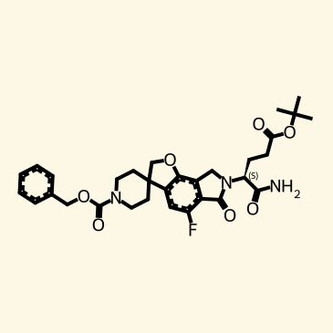 CC(C)(C)OC(=O)CC[C@@H](C(N)=O)N1Cc2c3c(cc(F)c2C1=O)C1(CCN(C(=O)OCc2ccccc2)CC1)CO3